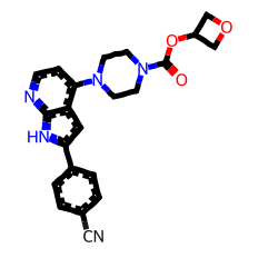 N#Cc1ccc(-c2cc3c(N4CCN(C(=O)OC5COC5)CC4)ccnc3[nH]2)cc1